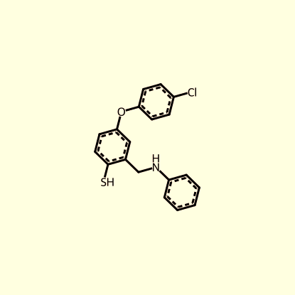 Sc1ccc(Oc2ccc(Cl)cc2)cc1CNc1ccccc1